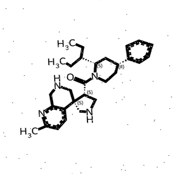 CCC(CC)[C@@H]1C[C@H](c2ccccc2)CCN1C(=O)[C@@H]1CNC[C@]12CNCc1nc(C)ccc12